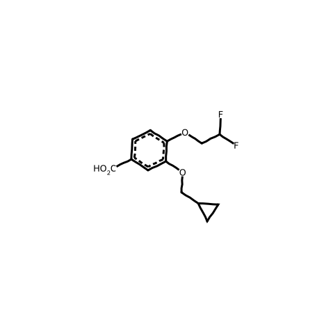 O=C(O)c1ccc(OCC(F)F)c(OCC2CC2)c1